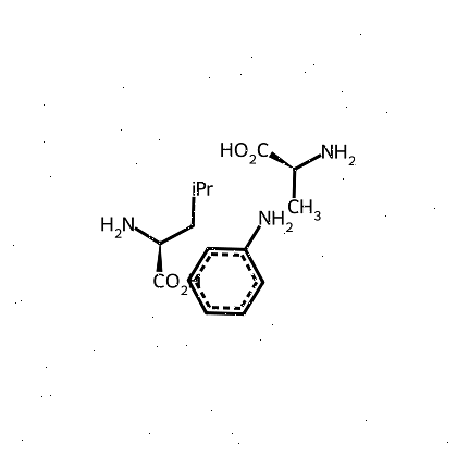 CC(C)C[C@H](N)C(=O)O.C[C@H](N)C(=O)O.Nc1ccccc1